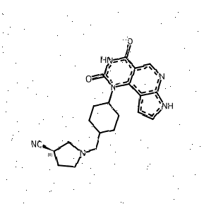 N#C[C@@H]1CCN(CC2CCC(n3c(=O)[nH]c(=O)c4cnc5[nH]ccc5c43)CC2)C1